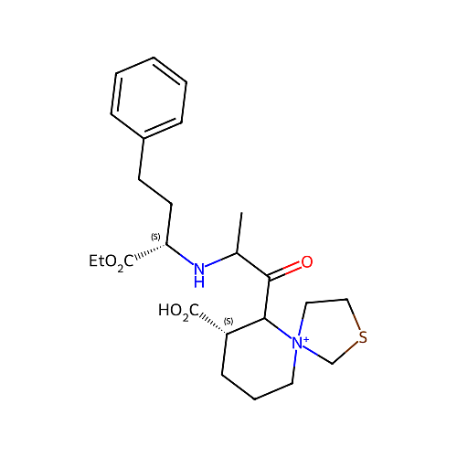 CCOC(=O)[C@H](CCc1ccccc1)NC(C)C(=O)C1[C@@H](C(=O)O)CCC[N+]12CCSC2